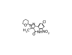 Cc1c2c(=O)[nH]c3c([N+](=O)[O-])cc(Cl)cc3c2nn1C1CCCCO1